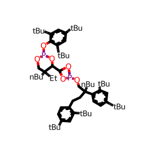 CCCCC(CCc1ccc(C(C)(C)C)cc1C(C)(C)C)(COP1OC(C2OP(Oc3c(C(C)(C)C)cc(C(C)(C)C)cc3C(C)(C)C)OCC2(CC)CCCC)O1)c1ccc(C(C)(C)C)cc1C(C)(C)C